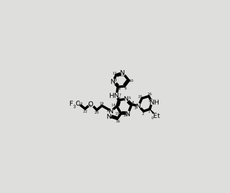 CC[C@H]1CN(c2nc(Nc3ccncn3)c3c(cnn3CCOCC(F)(F)F)n2)CCN1